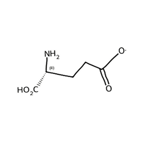 N[C@H](CCC([O])=O)C(=O)O